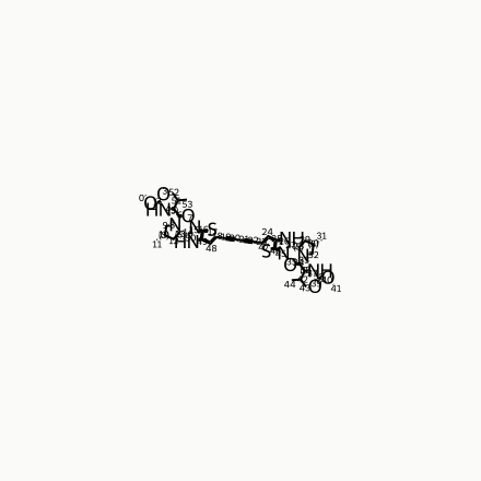 COC(=O)N[C@H](C(=O)N1C[C@@H](C)C[C@H]1c1nc2sc(C#CC#Cc3cc4[nH]c([C@@H]5C[C@H](C)CN5C(=O)[C@@H](NC(=O)OC)C(C)C)nc4s3)cc2[nH]1)C(C)C